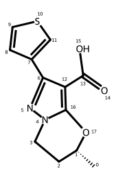 C[C@@H]1CCn2nc(-c3ccsc3)c(C(=O)O)c2O1